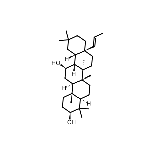 C/C=C/[C@]12CCC(C)(C)C[C@H]1[C@H]1[C@H](O)C[C@@H]3[C@@]4(C)CC[C@H](O)C(C)(C)[C@@H]4CC[C@@]3(C)[C@]1(C)CC2